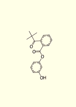 CC(C)(C)C(=O)c1ccccc1C(=O)Oc1cccc(O)c1